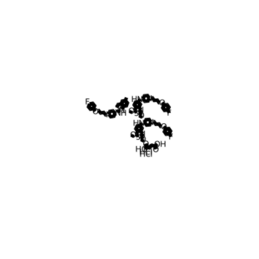 COC1=Nc2cc(NC3CCN(CCCCOc4ccc(F)cc4)CC3)ccc2C(OC)S1.COC1=Nc2cc(NC3CCN(CCCCOc4ccc(F)cc4)CC3)ccc2C(OC)S1.Cc1ccc2c(c1)CSC(NC1CCN(CCCCOc3ccc(F)cc3)CC1)=N2.Cl.Cl.O=C(O)C=CC(=O)O